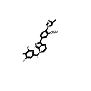 COc1cc(-c2nnc3n([C@H](C)c4cc(F)c(C)c(F)c4)cccc2-3)ccc1-n1cnc(C)c1